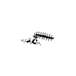 C=CC(=O)OC(CC)CN(F)S(=O)(=O)C(F)(F)C(F)(F)C(F)(F)C(F)(F)C(F)(F)C(F)(F)C(F)(F)C(F)(F)F